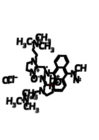 [CH]N([N])c1c2ccccc2c(N([CH]C2=[N+]([O-])CCN2CC[N+](C)(C)C)N=C2N(CC[N+](C)(C)C)CC[NH+]2[O-])c2ccccc12.[Cl-].[Cl-]